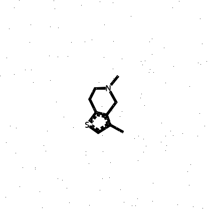 Cc1csc2c1CN(C)CC2